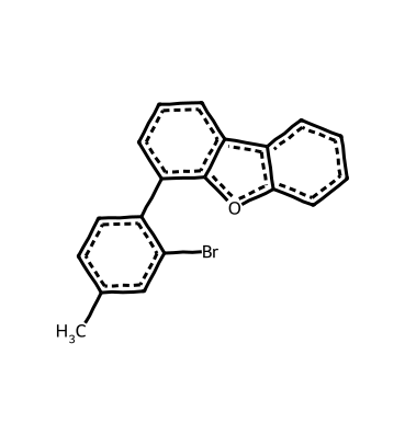 Cc1ccc(-c2cccc3c2oc2ccccc23)c(Br)c1